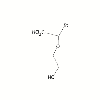 CCC(OCCO)C(=O)O